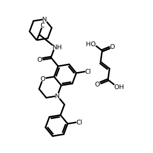 O=C(NC1CN2CCC1CC2)c1cc(Cl)cc2c1OCCN2Cc1ccccc1Cl.O=C(O)C=CC(=O)O